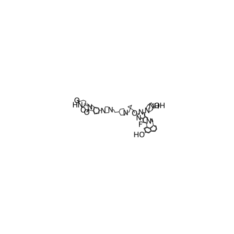 C#Cc1cccc2cc(O)cc(-c3ncc4c(N5CC6CC(O)C(C5)N6)nc(OCC5(CN6CCC(CCN7CCN(c8ccc9c(c8)CN([C@H]8CCC(=O)NC8=O)C9=O)CC7)CC6)CC5)nc4c3F)c12